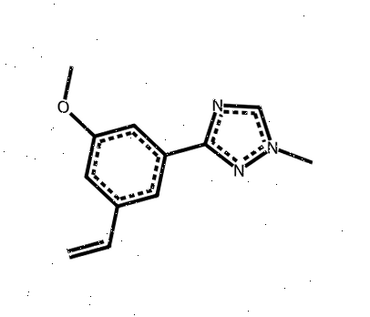 C=Cc1cc(OC)cc(-c2ncn(C)n2)c1